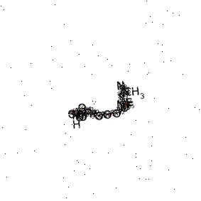 Cn1c2ccncc2c2ccc(-c3cnc(OC4CC(OCCCOCCCOC5CN(c6ccc7c(c6)C(=O)N(C6CCC(=O)NC6=O)C7=O)C5)C4)c(C(F)(F)F)c3)cc21